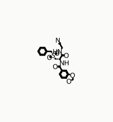 N#CCNC(=O)[C@H](CS(=O)(=O)Cc1ccccc1)NC(=O)c1ccc2c(c1)OCO2